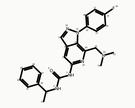 CC(NC(=O)Nc1cc2cnn(-c3ccc(F)cc3)c2c(CN(C)C)n1)c1ccccc1